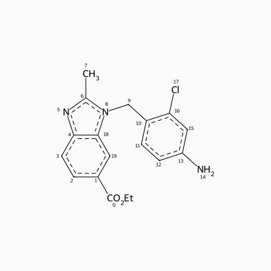 CCOC(=O)c1ccc2nc(C)n(Cc3ccc(N)cc3Cl)c2c1